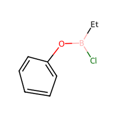 CCB(Cl)Oc1ccccc1